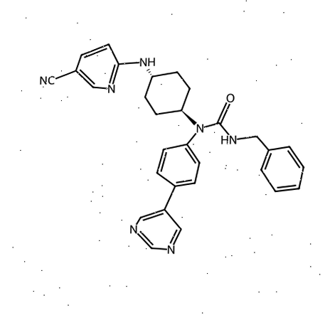 N#Cc1ccc(N[C@H]2CC[C@H](N(C(=O)NCc3ccccc3)c3ccc(-c4cncnc4)cc3)CC2)nc1